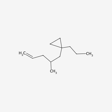 C=CCC(C)CC1(CCC)CC1